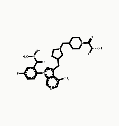 Cc1cncc2c1c(CC1CCN(CC3CCN(C(=O)[C@H](O)F)CC3)C1)cn2-c1ccc(F)cc1C(=O)N(C)C(C)C